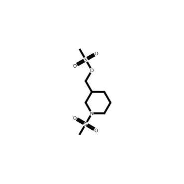 CS(=O)(=O)OCC1CCCN(S(C)(=O)=O)C1